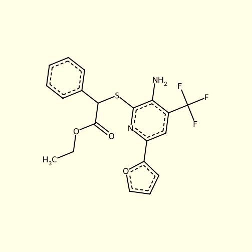 CCOC(=O)C(Sc1nc(-c2ccco2)cc(C(F)(F)F)c1N)c1ccccc1